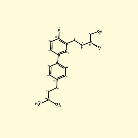 CC(C)[C@H](CO)NCc1nc(-c2ccc(CCN(C)C)cc2)ccc1F